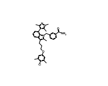 Cc1cc(OCCCc2c(C)n(Cc3cccc(C(N)=O)c3)c3c(-c4c(C)nn(C)c4C)cccc23)cc(C)c1Cl